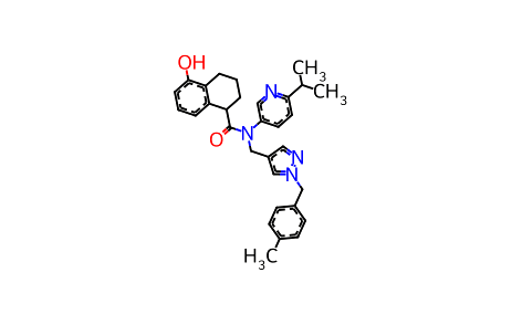 Cc1ccc(Cn2cc(CN(C(=O)C3CCCc4c(O)cccc43)c3ccc(C(C)C)nc3)cn2)cc1